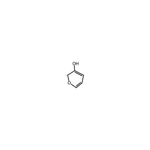 OC1=CC=CO[CH]1